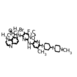 Cc1cc(Nc2ncc(Br)c(Nc3ccc4nccnc4c3P(C)(C)=O)n2)c(OCC(F)(F)F)nc1N1CCC(N2CCN(C)CC2)CC1